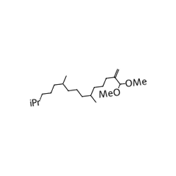 C=C(CCCC(C)CCCC(C)CCCC(C)C)C(OC)OC